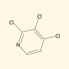 Clc1[c]cnc(Cl)c1Cl